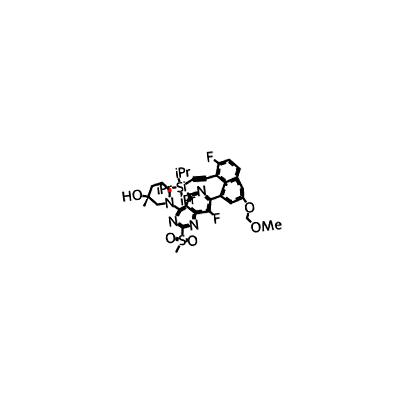 COCOc1cc(-c2nc(C)c3c(N4CCC[C@@](C)(O)C4)nc(S(C)(=O)=O)nc3c2F)c2c(C#C[Si](C(C)C)(C(C)C)C(C)C)c(F)ccc2c1